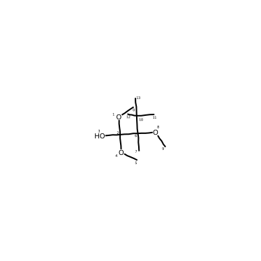 COC(O)(OC)C(C)(OC)C(C)(C)C